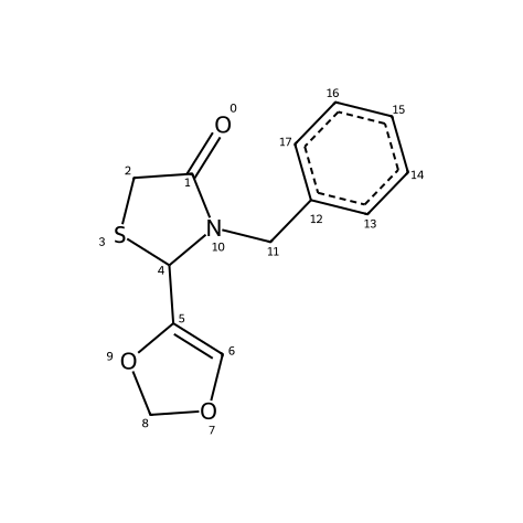 O=C1CSC(C2=COCO2)N1Cc1ccccc1